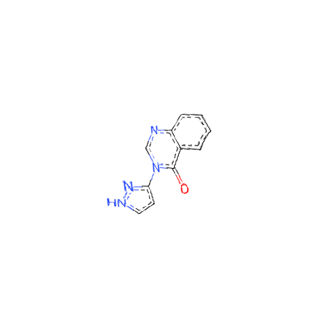 O=c1c2ccccc2ncn1-c1cc[nH]n1